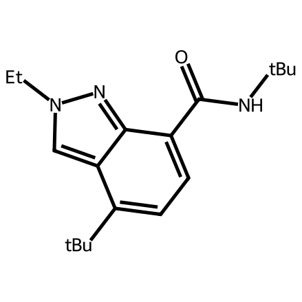 CCn1cc2c(C(C)(C)C)ccc(C(=O)NC(C)(C)C)c2n1